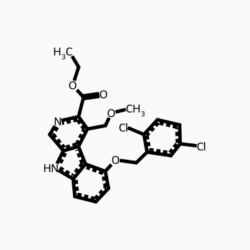 CCOC(=O)c1ncc2[nH]c3cccc(OCc4cc(Cl)ccc4Cl)c3c2c1COC